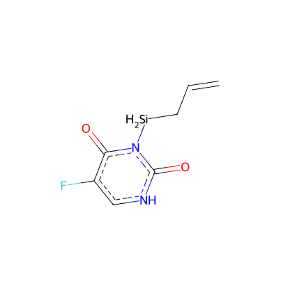 C=CC[SiH2]n1c(=O)[nH]cc(F)c1=O